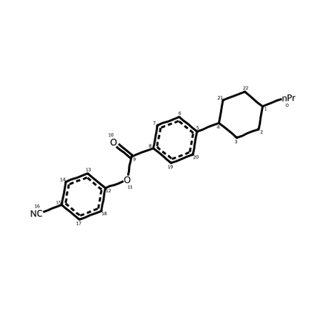 CCCC1CCC(c2ccc(C(=O)Oc3ccc(C#N)cc3)cc2)CC1